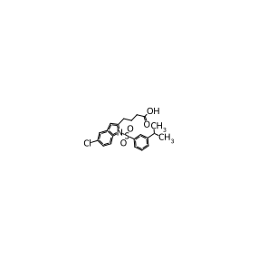 CC(C)c1cccc(S(=O)(=O)n2c(CCCC(=O)O)cc3cc(Cl)ccc32)c1